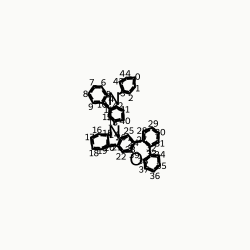 c1ccc(-n2c3ccccc3c3cc(-n4c5ccccc5c5cc6c(cc54)-c4ccccc4-c4ccccc4O6)ccc32)cc1